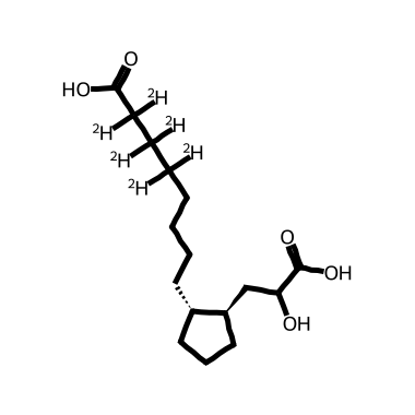 [2H]C([2H])(CCCC[C@H]1CCC[C@@H]1CC(O)C(=O)O)C([2H])([2H])C([2H])([2H])C(=O)O